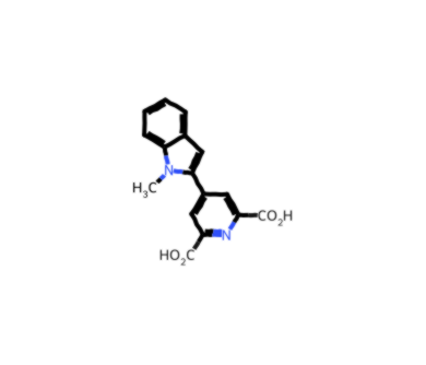 Cn1c(-c2cc(C(=O)O)nc(C(=O)O)c2)cc2ccccc21